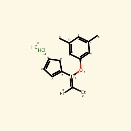 CC[C](CC)=[Ti]([O]c1cc(C)cc(C)c1)[C]1=CC=CC1.Cl.Cl